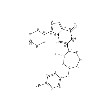 C[C@H]1CC(Cc2ccc(F)cc2)CCC[C@@H]1c1nn2c(C3CCOCC3)ncc2c(=O)[nH]1